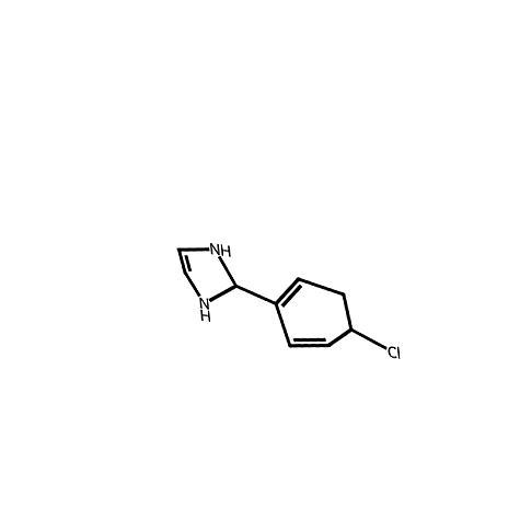 ClC1C=CC(C2NC=CN2)=CC1